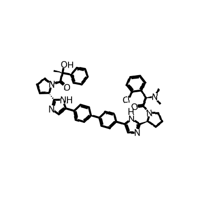 CN(C)[C@@H](C(=O)N1CCC[C@H]1c1ncc(-c2ccc(-c3ccc(-c4cnc([C@@H]5CCCN5C(=O)[C@](C)(O)c5ccccc5)[nH]4)cc3)cc2)[nH]1)c1ccccc1Cl